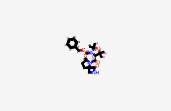 CC1CCC2(CNC2=O)N1C(=O)[C@H]1N(C(=O)OCc2ccccc2)C(C)(C)OC1(C)C